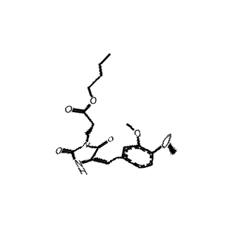 CCCCOC(=O)CCN1C(=O)NC(=Cc2ccc(OC)c(OC)c2)C1=O